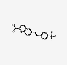 O=C(O)c1ccc2cc(/C=C/c3ccc(C(F)(F)F)cc3)ccc2n1